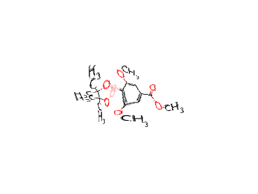 COC(=O)c1cc(OC)c(B2OC(C)(C)C(C)(C)O2)c(OC)c1